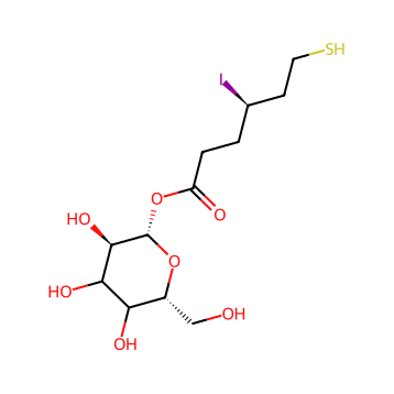 O=C(CC[C@@H](I)CCS)O[C@@H]1O[C@H](CO)C(O)C(O)[C@H]1O